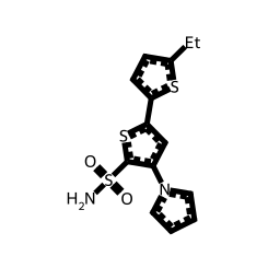 CCc1ccc(-c2cc(-n3cccc3)c(S(N)(=O)=O)s2)s1